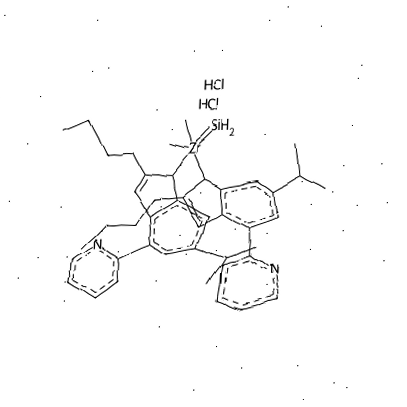 CCCCC1=Cc2c(-c3ccccn3)cc(C(C)C)cc2[CH]1[Zr]([CH3])([CH3])(=[SiH2])[CH]1C(CCCC)=Cc2c(-c3ccccn3)cc(C(C)C)cc21.Cl.Cl